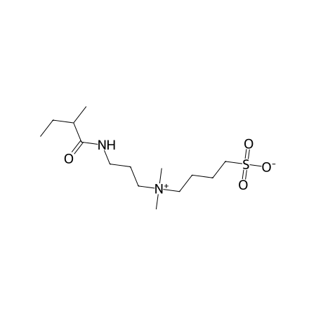 CCC(C)C(=O)NCCC[N+](C)(C)CCCCS(=O)(=O)[O-]